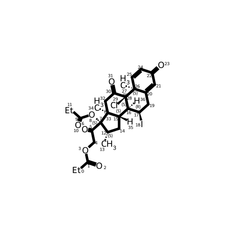 CCC(=O)OCC(=O)[C@]1(OC(=O)CC)[C@@H](C)C[C@H]2[C@@H]3[C@H](I)CC4=CC(=O)C=C[C@]4(C)[C@@]3(Cl)C(=O)C[C@@]21C